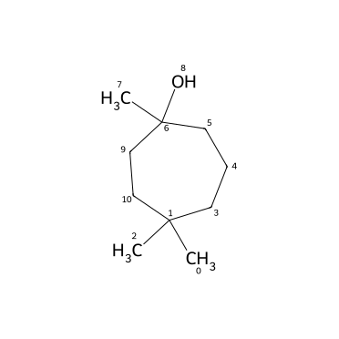 CC1(C)CCCC(C)(O)CC1